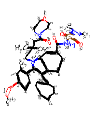 COc1ccc(-c2c(C3CCCCC3)c3ccc(C(=O)NS(=O)(=O)N(C)C)cc3n2CC(C)(C)CC(=O)N2CCOCC2)c(C)c1